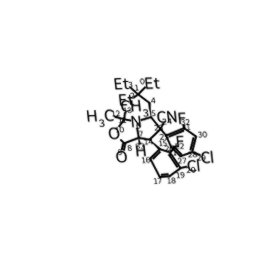 CCC(CC)(CC)C[C@@H]1N2[C@@H](C(=O)OC2(C)C)[C@H](c2cccc(Cl)c2F)[C@@]1(C#N)c1ccc(Cl)cc1F